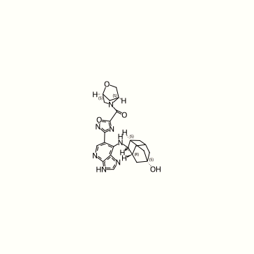 O=C(c1nc(-c2cnc3[nH]cnc3c2N[C@H]2[C@@H]3CC4C[C@H]2C[C@@](O)(C4)C3)no1)N1C[C@@H]2C[C@H]1CO2